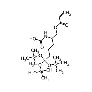 C=CC(=O)OCC(CCC[Si](O[Si](C)(C)C)(O[Si](C)(C)C)O[Si](C)(C)C)NC(=O)O